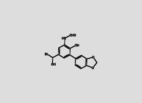 [CH2]CC(O)c1cc(NC=O)c(O)c(-c2ccc3c(c2)OCO3)c1